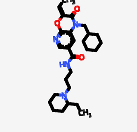 CC=C1Oc2ncc(C(=O)NCCCN3CCCCC3CC)cc2N(CC2CCCCC2)C1=O